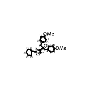 COc1ccc(CC(O)(Cc2ccc(OC)cc2)c2coc(C3=CCCC=C3)n2)cc1